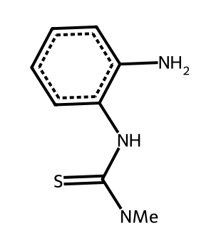 CNC(=S)Nc1ccccc1N